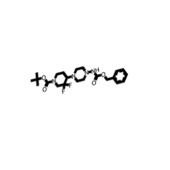 CC(C)(C)OC(=O)N1CCC(N2CCN(NC(=O)OCc3ccccc3)CC2)C(F)(F)C1